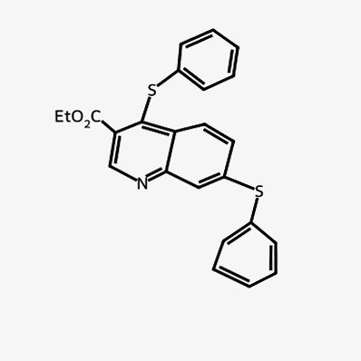 CCOC(=O)c1cnc2cc(Sc3ccccc3)ccc2c1Sc1ccccc1